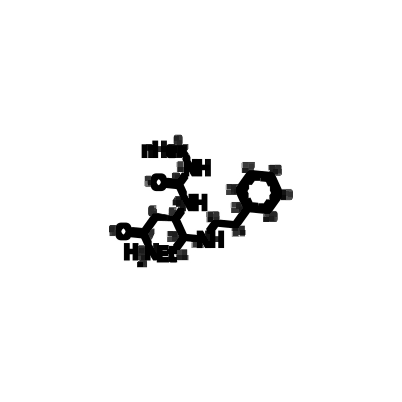 CCCCCCNC(=O)N[C@H](CC(N)=O)C(CC)NCCc1ccccc1